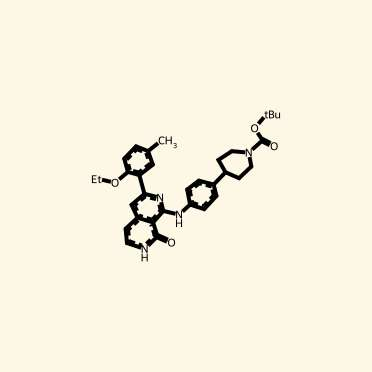 CCOc1ccc(C)cc1-c1cc2cc[nH]c(=O)c2c(Nc2ccc(C3CCN(C(=O)OC(C)(C)C)CC3)cc2)n1